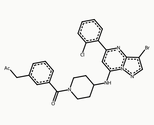 CC(=O)Cc1cccc(C(=O)N2CCC(Nc3cc(-c4ccccc4Cl)nc4c(Br)cnn34)CC2)c1